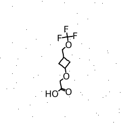 O=C(O)COC1CC(COC(F)(F)F)C1